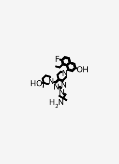 CCc1c(F)ccc2cc(O)cc(N3CCc4c(nc(N5CC(C)(N)C5)nc4N4CCC[C@@](C)(O)C4)C3)c12